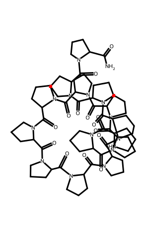 NC(=O)C1CCCN1C(=O)C1CCCN1C(=O)C1CCCN1C(=O)C1CCCN1C(=O)C1CCCN1C(=O)C1CCCN1C(=O)C1CCCN1C(=O)C1CCCN1C(=O)C1CCCN1C(=O)C1CCCN1C(=O)C1CCCN1C(=O)C1CCCN1C(=O)C1CCCN1C(=O)C1CCCN1